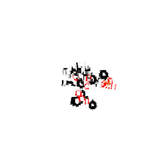 C#CCC[C@H]1[C@H](C(CCCOc2ccccc2)OC2CCCCO2)[C@@H](OC2CCCCO2)C[C@H]1O[Si](C)(C)C(C)(C)C.Cc1ccccc1S(=O)(=O)O